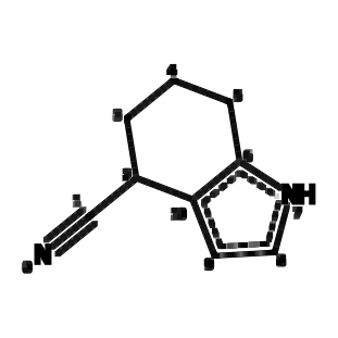 N#CC1CCCc2[nH]ccc21